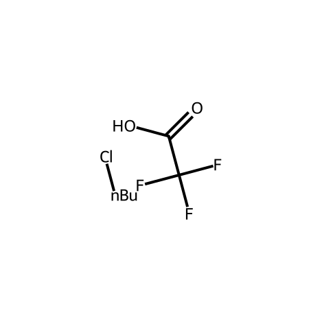 CCCCCl.O=C(O)C(F)(F)F